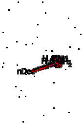 CCCCCCCCCCCCCCCCCCCCCCCCCCCCCC[Si]1(c2ccccc2)O[SiH2]O[SiH2]O[SiH2]O[SiH2]O1